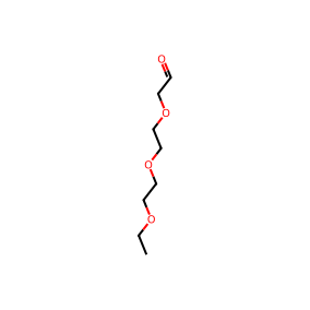 CCOCCOCCOCC=O